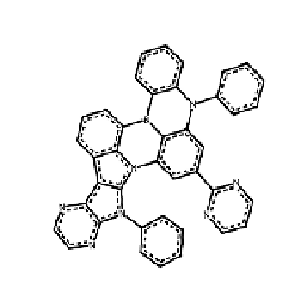 c1ccc(N2c3ccccc3B3c4c2cc(-c2ncccn2)cc4-n2c4c3cccc4c3c4nccnc4n(-c4ccccc4)c32)cc1